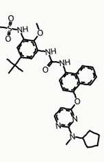 COc1c(NC(=O)Nc2ccc(Oc3ccnc(N(C)C4CCCC4)n3)c3ccccc23)cc(C(C)(C)C)cc1NS(C)(=O)=O